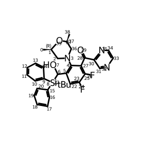 C[C@@H]1CN(c2c(C(O)[Si](c3ccccc3)(c3ccccc3)C(C)(C)C)cc(F)c(F)c2C(=O)c2cnccn2)C[C@H](C)O1